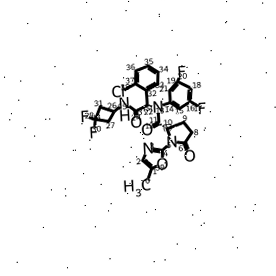 Cc1cnc(N2C(=O)CC[C@H]2C(=O)N(c2cc(F)cc(F)c2)[C@H](C(=O)NC2CC(F)(F)C2)c2ccccc2Cl)o1